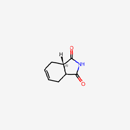 O=C1NC(=O)[C@H]2CC=CCC12